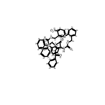 O=C(NC1C(=O)N(CP(C(=O)OCc2ccccc2[N+](=O)[O-])(c2ccccc2)(c2ccccc2)c2ccccc2)C1CC(=O)c1ccccc1)OCc1ccccc1[N+](=O)[O-]